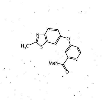 CNC(=O)c1cc(Oc2ccc3nc(C)sc3c2)ccn1